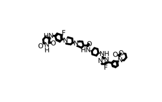 O=C1CC[C@@H](Nc2ccc(N3CCC(N4CCC(C(=O)N[C@H]5CC[C@H](Nc6ncc(F)c(-c7cccc(N8CCCOC8=O)c7)n6)CC5)CC4)CC3)c(F)c2)C(=O)N1